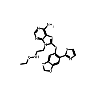 CCSNCCn1c(Sc2cc3c(cc2-c2nccs2)OCO3)nc2c(N)ncnc21